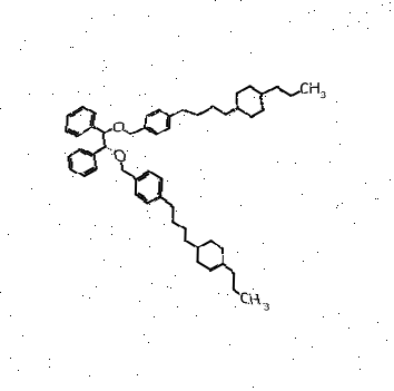 CCCC1CCC(CCCCc2ccc(CO[C@H](c3ccccc3)[C@H](OCc3ccc(CCCCC4CCC(CCC)CC4)cc3)c3ccccc3)cc2)CC1